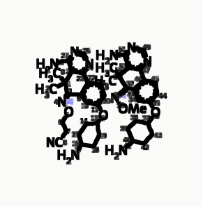 CC1(C)/C(=N/OCCC#N)c2cc(OC3CCC(N)CC3)ccc2-c2ncnc(N)c21.CO/N=C1\c2cc(OC3CCC(N)CC3)ccc2-c2ncnc(N)c2C1(C)C